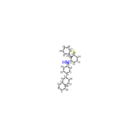 c1ccc2cc(-c3ccc(Nc4cccc5sc6ccccc6c45)cc3)ccc2c1